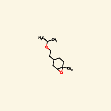 CC(C)OCCC1CCC2(C)OC2C1